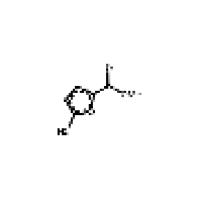 COC(=O)c1ccc(C#N)o1